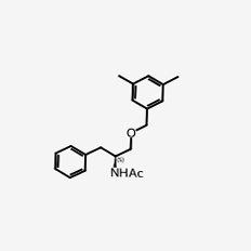 CC(=O)N[C@H](COCc1cc(C)cc(C)c1)Cc1ccccc1